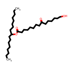 CCCCCCCCC(CCCCCCCC)OC(=O)CCCCCCCC(=O)CCCCCCO